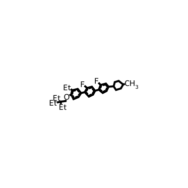 CCc1cc(-c2ccc(-c3ccc(C4CCC(C)CC4)cc3F)cc2F)ccc1OCC(CC)(CC)CC